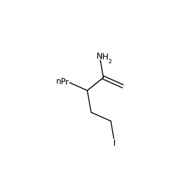 C=C(N)C(CCC)CCI